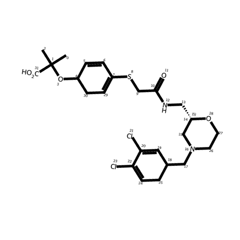 CC(C)(OC1C=CC(SCC(=O)NC[C@H]2CN(CC3C=C(Cl)C(Cl)=CC3)CCO2)=CC1)C(=O)O